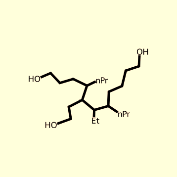 CCCC(CCCO)[C](CCO)C(CC)C(CCC)CCCCO